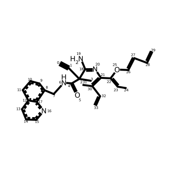 C#CC(C)(C(=O)NCc1cccc2cccnc12)\C(N)=N/C(C(=C/C)/O/C=C/C=C)=C(\C)C=C